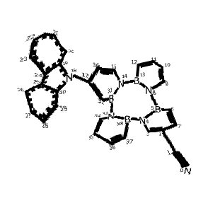 N#CC1=CN2B(C=C1)N1C=CC=CB1N1C=CC(n3c4ccccc4c4ccccc43)=CB1N1C=CC=CB12